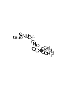 CC(C)(C)OC(=O)NCc1ccc(F)c(C2CCN(C(=O)c3cccc4ccc(B5OC(C)(C)C(C)(C)O5)cc34)CC2)c1